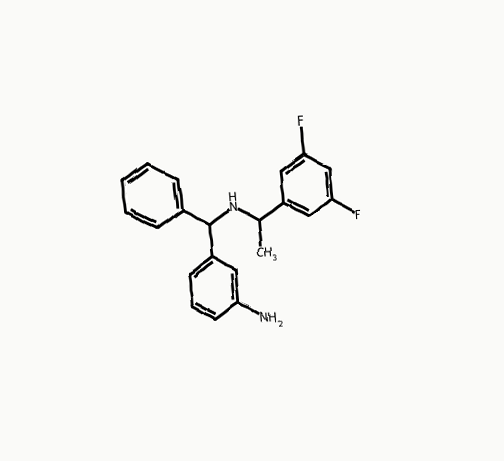 CC(NC(c1ccccc1)c1cccc(N)c1)c1cc(F)cc(F)c1